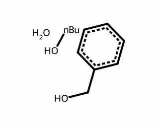 CCCCO.O.OCc1ccccc1